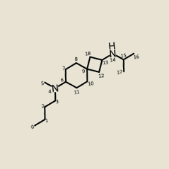 CCCCN(C)C1CCC2(CC1)CC(NC(C)C)C2